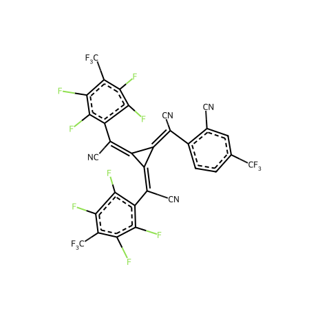 N#CC(=C1C(=C(\C#N)c2ccc(C(F)(F)F)cc2C#N)/C1=C(\C#N)c1c(F)c(F)c(C(F)(F)F)c(F)c1F)c1c(F)c(F)c(C(F)(F)F)c(F)c1F